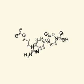 CC(=O)OCCCn1c(N)nc2cc(N3CCN(C(=O)O)CC3=O)ccc21